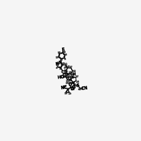 C[C@]12Cc3cnn(-c4ccc(F)cc4)c3C=C1CC[C@@H]1[C@@H]2[C@@H](O)C[C@@]2(C)[C@H]1CC[C@]2(OC(=O)C1(C#N)CC1)C(=O)SCC#N